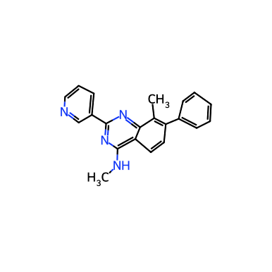 CNc1nc(-c2cccnc2)nc2c(C)c(-c3ccccc3)ccc12